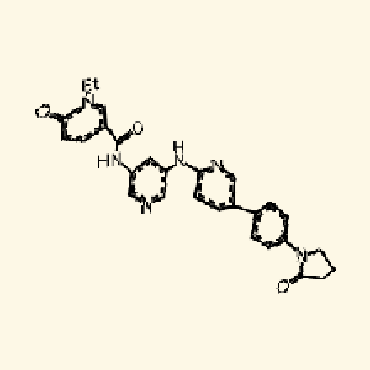 CCn1cc(C(=O)Nc2cncc(Nc3ccc(-c4ccc(N5CCCC5=O)cc4)cn3)c2)ccc1=O